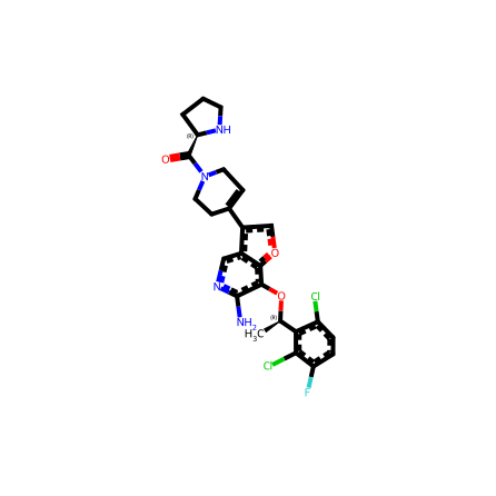 C[C@@H](Oc1c(N)ncc2c(C3=CCN(C(=O)[C@H]4CCCN4)CC3)coc12)c1c(Cl)ccc(F)c1Cl